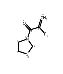 C=C(F)C(=O)N1CCSC1